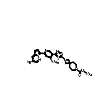 CNc1cc(-c2ccc3cc(C#N)cnn23)ncc1-c1nnc(N2CC3(CCN(C(=O)OC(C)(C)C)CC3)C2)s1